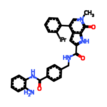 CC(C)c1ccccc1-c1cn(C)c(=O)c2[nH]c(C(=O)NCc3ccc(C(=O)Nc4ccccc4N)cc3)cc12